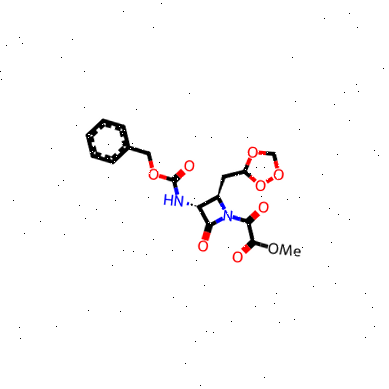 COC(=O)C(=O)N1C(=O)[C@H](NC(=O)OCc2ccccc2)[C@H]1CC1OCOO1